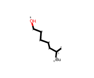 CCC(C)C(C)CCCCCO